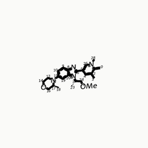 C=C1C(C)=CC(c2nc3ccc(N4CCOC[C@@H]4C)cc3n2[C@@H](C)COC)=CN1C